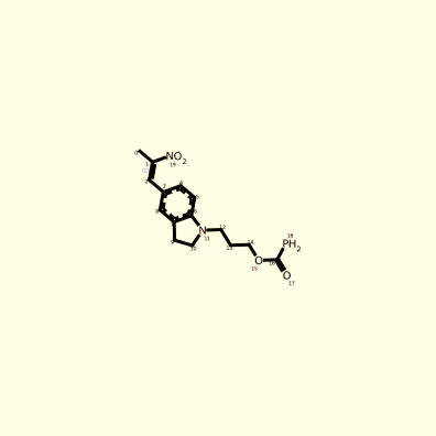 C/C(=C/c1ccc2c(c1)CCN2CCCOC(=O)P)[N+](=O)[O-]